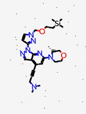 C[C@@H]1COCCN1c1cc(C#CCN(C)C)c2cnn(-c3ccn(COCC[Si](C)(C)C)n3)c2n1